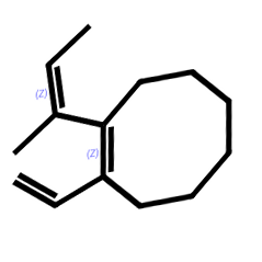 C=C/C1=C(\C(C)=C/C)CCCCCC1